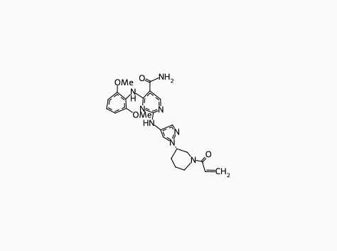 C=CC(=O)N1CCC[C@H](n2cc(Nc3ncc(C(N)=O)c(Nc4c(OC)cccc4OC)n3)cn2)C1